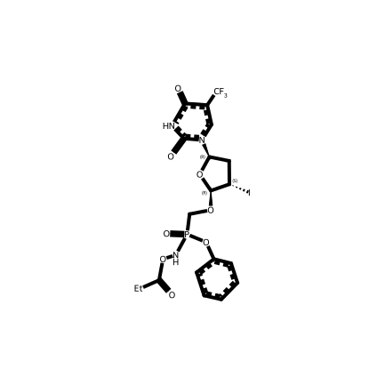 CCC(=O)ONP(=O)(CO[C@H]1O[C@@H](n2cc(C(F)(F)F)c(=O)[nH]c2=O)C[C@@H]1I)Oc1ccccc1